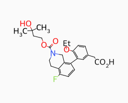 CCOc1ccc(CC(=O)O)cc1-c1ccc(F)c2c1CN(C(=O)OCCC(C)(C)O)CC2